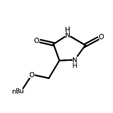 CCCCOCC1NC(=O)NC1=O